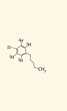 [2H]c1c([2H])c(CCCCC)c([2H])c([2H])c1Br